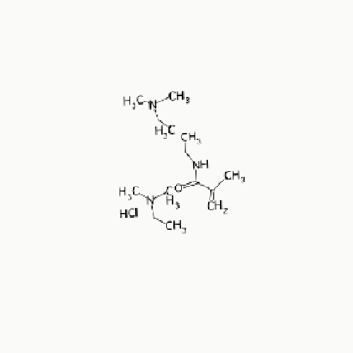 C=C(C)C(=O)NCC.CCN(C)C.CCN(C)C.Cl